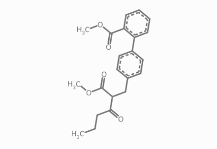 CCCC(=O)C(Cc1ccc(-c2ccccc2C(=O)OC)cc1)C(=O)OC